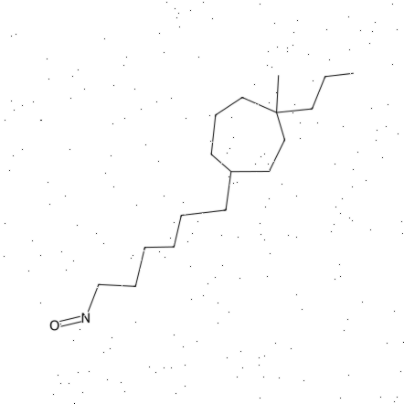 CCCC1(C)CCCC(CCCCCCN=O)CC1